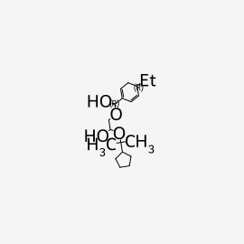 CC[C@H]1C=CC([C@H](O)OCC(O)OC(C)(C)C2CCCC2)=CC1